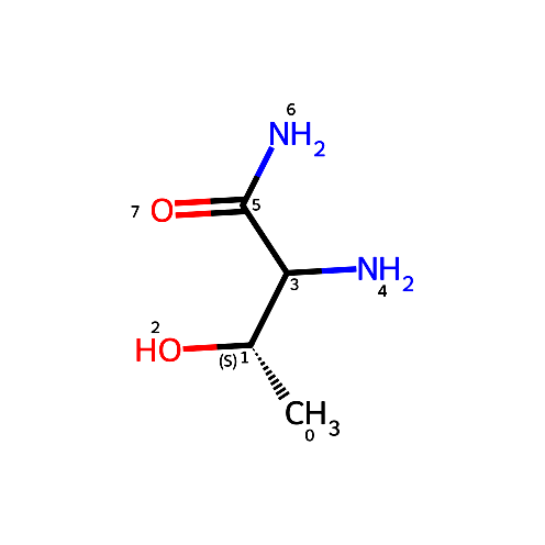 C[C@H](O)C(N)C(N)=O